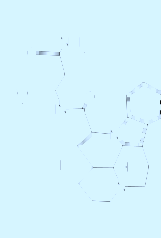 CC[C@@]12C=C(C(=O)N[C@@H](CC(N)=O)C(=O)O)n3c4c(c5ccccc53)CCN(CCC1)[C@H]42